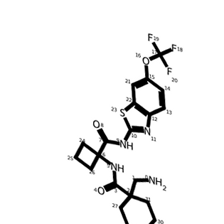 NCC1(C(=O)NC2(C(=O)Nc3nc4ccc(OC(F)(F)F)cc4s3)CCC2)CCCCC1